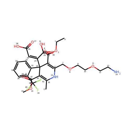 CCOC(=O)C1=C(COCCOCCN)NC(C)=C(C(=O)OC)C1(/C(=C/C(=O)O)C(=O)O)c1ccccc1C(F)(F)F